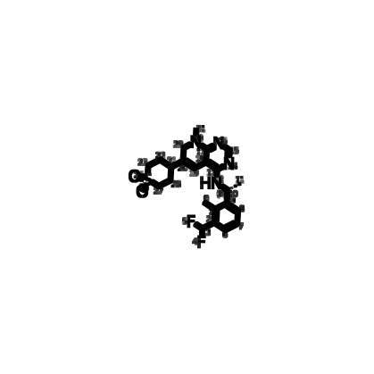 Cc1c(C(F)F)cccc1[C@@H](C)Nc1ncnc2c1C=C(C1CCS(=O)(=O)CC1)CN2C